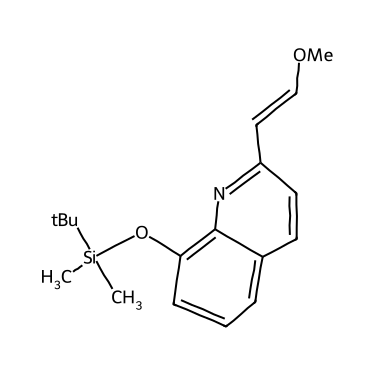 CO/C=C/c1ccc2cccc(O[Si](C)(C)C(C)(C)C)c2n1